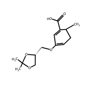 CC1CC=C(OC[C@@H]2COC(C)(C)O2)C=C1C(=O)O